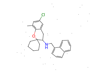 Cc1cc(Cl)cc2c1OC1(CCCCC1)C(NCc1cccc3ccccc13)C2